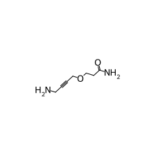 NCC#CCOCCC(N)=O